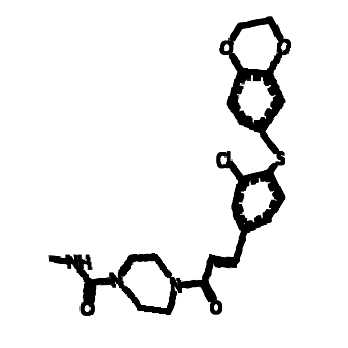 CNC(=O)N1CCN(C(=O)C=Cc2ccc(Sc3ccc4c(c3)OCCO4)c(Cl)c2)CC1